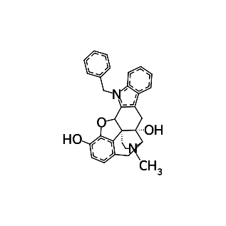 CN1CC[C@]23c4c5ccc(O)c4OC2c2c(c4ccccc4n2Cc2ccccc2)C[C@@]3(O)C1C5